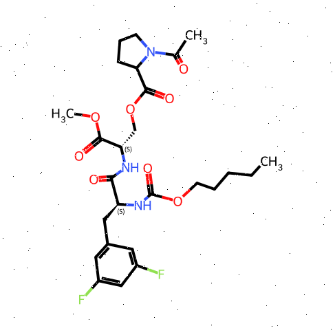 CCCCCOC(=O)N[C@@H](Cc1cc(F)cc(F)c1)C(=O)N[C@@H](COC(=O)C1CCCN1C(C)=O)C(=O)OC